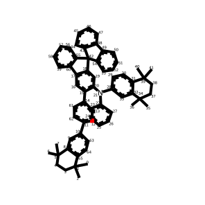 CC1(C)CCC(C)(C)c2cc(-c3ccc(-c4cc5c(cc4N(c4ccccc4)c4ccc6c(c4)C(C)(C)CCC6(C)C)C4(c6ccccc6-c6ccccc64)c4ccccc4-5)cc3)ccc21